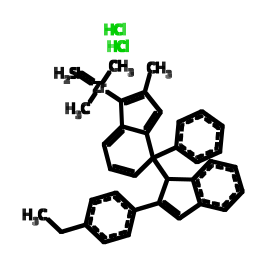 CCc1ccc(C2=Cc3ccccc3C2C2(c3ccccc3)C=CC=C3C2=CC(C)=[C]3[Zr]([CH3])([CH3])=[SiH2])cc1.Cl.Cl